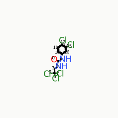 O=C(NCC(Cl)(Cl)Cl)Nc1ccc(Cl)c(Cl)c1